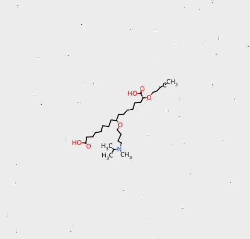 CCCCCOC(CCCCCCC(CCCCCCCC(=O)O)OCCCCN(C)C(C)C)C(=O)O